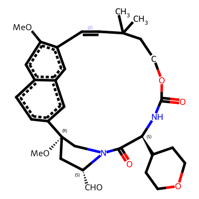 COc1cc2ccc3cc2cc1/C=C\C(C)(C)CCOC(=O)N[C@@H](C1CCOCC1)C(=O)N1C[C@@]3(OC)C[C@H]1C=O